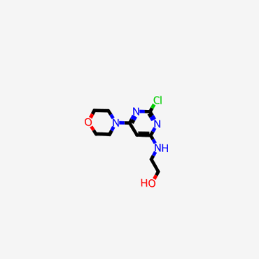 OCCNc1cc(N2CCOCC2)nc(Cl)n1